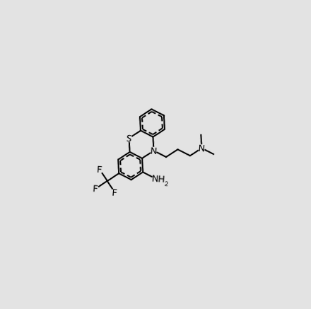 CN(C)CCCN1c2ccccc2Sc2cc(C(F)(F)F)cc(N)c21